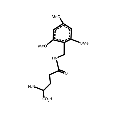 COc1cc(OC)c(CNC(=O)CC[C@H](N)C(=O)O)c(OC)c1